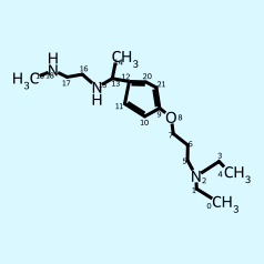 CCN(CC)CCCOc1ccc(C(C)NCCNC)cc1